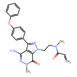 C=CC(=O)N(C)CCn1nc(-c2ccc(Oc3ccccc3)cc2)c2c(N)nn(C)c(=O)c21